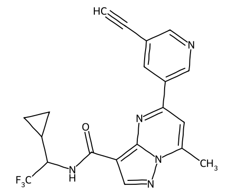 C#Cc1cncc(-c2cc(C)n3ncc(C(=O)NC(C4CC4)C(F)(F)F)c3n2)c1